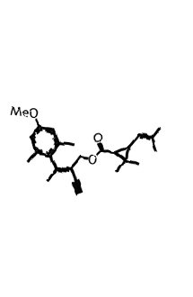 C#CC(COC(=O)C1C(C=C(C)C)C1(C)C)=C(C)c1c(C)cc(OC)cc1C